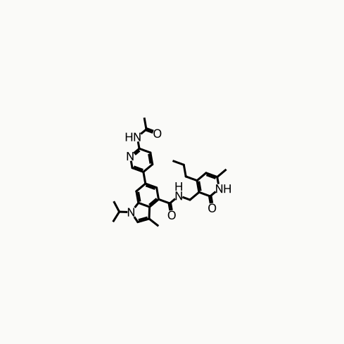 CCCc1cc(C)[nH]c(=O)c1CNC(=O)c1cc(-c2ccc(NC(C)=O)nc2)cc2c1c(C)cn2C(C)C